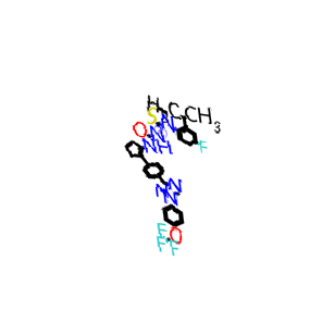 CC(C)c1cc(F)ccc1N1CCS/C1=N\C(=O)NC1=C(c2ccc(-c3ncn(-c4ccc(OC(F)(F)F)cc4)n3)cc2)CCC1